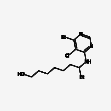 CCc1ncnc(NC(CC)CCCCCCO)c1Cl